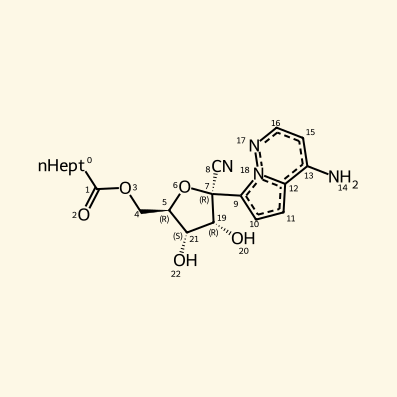 CCCCCCCC(=O)OC[C@H]1O[C@@](C#N)(c2ccc3c(N)ccnn23)[C@H](O)[C@@H]1O